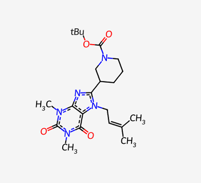 CC(C)=CCn1c(C2CCCN(C(=O)OC(C)(C)C)C2)nc2c1c(=O)n(C)c(=O)n2C